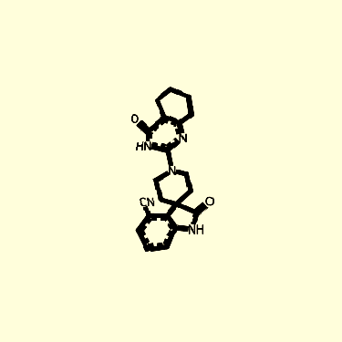 N#Cc1cccc2c1C1(CCN(c3nc4c(c(=O)[nH]3)CCCC4)CC1)C(=O)N2